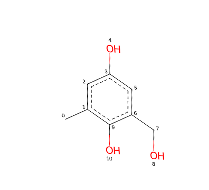 Cc1cc(O)cc(CO)c1O